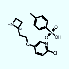 Cc1ccc(S(=O)(=O)O)cc1.Clc1ccc(OCC[C@@H]2CCN2)cn1